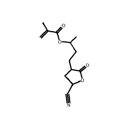 C=C(C)C(=O)OC(C)CCC1CC(C#N)OC1=O